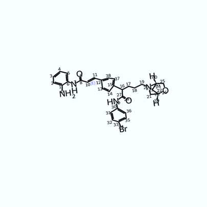 Nc1ccccc1NC(=O)/C=C/c1ccc(C(CCCN2C[C@@H]3C[C@H]2CO3)C(=O)Nc2ccc(Br)cc2)cc1